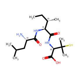 CC[C@H](C)[C@H](NC(=O)[C@@H](N)CC(C)C)C(=O)N[C@H](C(=O)O)C(C)(C)S